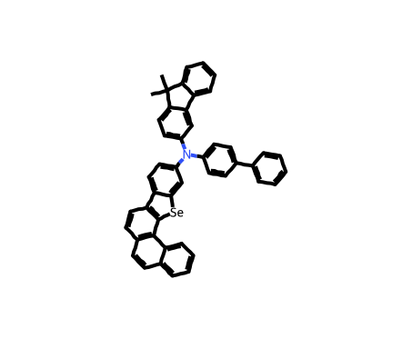 CC1(C)c2ccccc2-c2cc(N(c3ccc(-c4ccccc4)cc3)c3ccc4c(c3)[se]c3c4ccc4ccc5ccccc5c43)ccc21